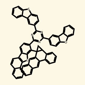 c1ccc2c(c1)-c1cc3ccccc3cc1C1(c3c(-c4nc(-c5ccc6oc7ccccc7c6c5)nc(-c5ccc6sc7ccccc7c6c5)n4)ccc4c3oc3c5ccccc5ccc43)CC21